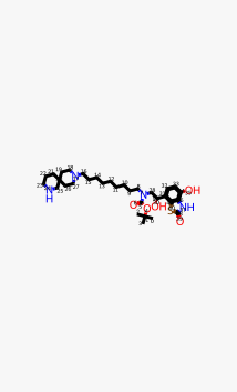 CC(C)(C)OC(=O)N(CCCCCCCCCN1CCC2(CCCNC2)CC1)C[C@H](O)c1ccc(O)c2[nH]c(=O)sc12